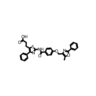 Cc1oc(-c2ccccc2)nc1COc1ccc(C(=O)Nc2nc(-c3ccccc3)c(CCC(=O)O)s2)cc1